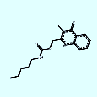 CCCCCNC(=O)OCc1[nH]c2ccccc2c(=O)c1C